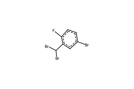 Fc1c[c]c(Br)cc1C(Br)Br